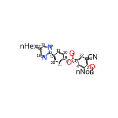 CCCCCCCCCOc1ccc(C(=O)Oc2ccc(-c3ncc(CCCCCC)cn3)cc2)cc1C#N